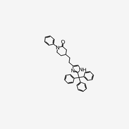 O=C1CC(CCc2c[nH]c(C(c3ccccc3)(c3ccccc3)c3ccccc3)n2)CCN1c1ccccc1